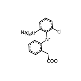 O=C([O-])Cc1ccccc1[N-]c1c(Cl)cccc1Cl.[Na+].[Na+]